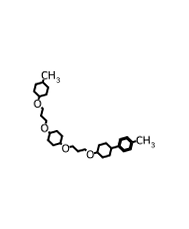 Cc1ccc(C2CCC(OCCCOC3CCC(OCCCOC4CCC(C)CC4)CC3)CC2)cc1